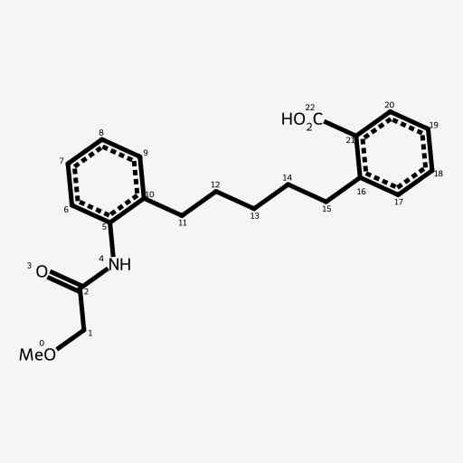 COCC(=O)Nc1ccccc1CCCCCc1ccccc1C(=O)O